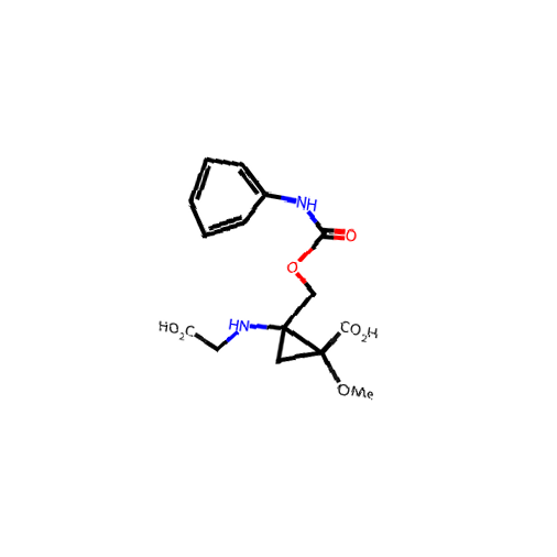 COC1(C(=O)O)CC1(COC(=O)Nc1ccccc1)NCC(=O)O